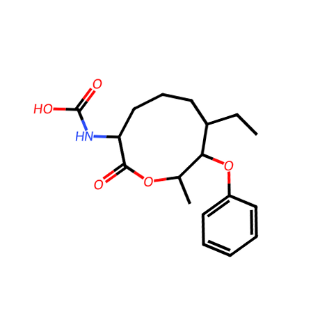 CCC1CCCC(NC(=O)O)C(=O)OC(C)C1Oc1ccccc1